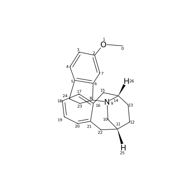 COc1ccc2c(c1)C(N1C[C@@H]3CC[C@H]1Cc1ccccc1C3)CC2